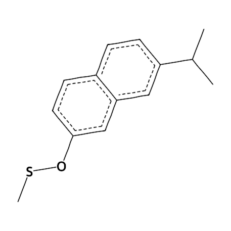 CSOc1ccc2ccc(C(C)C)cc2c1